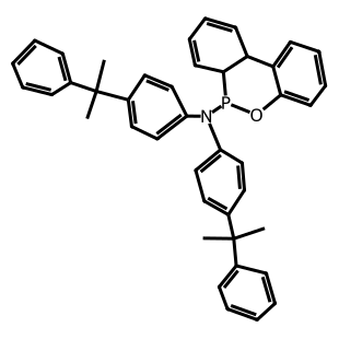 CC(C)(c1ccccc1)c1ccc(N(c2ccc(C(C)(C)c3ccccc3)cc2)P2Oc3ccccc3C3C=CC=CC32)cc1